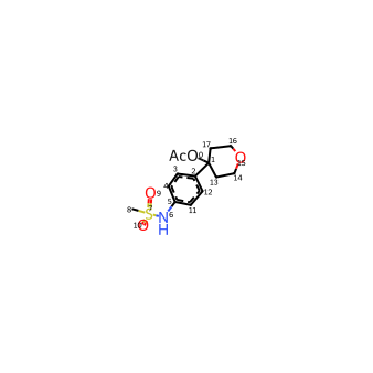 CC(=O)OC1(c2ccc(NS(C)(=O)=O)cc2)CCOCC1